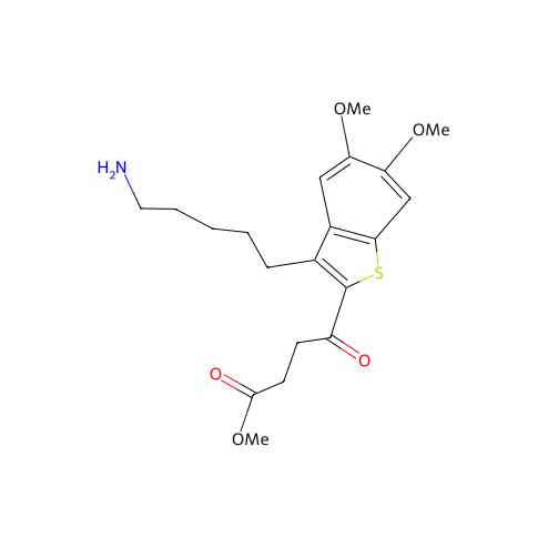 COC(=O)CCC(=O)c1sc2cc(OC)c(OC)cc2c1CCCCCN